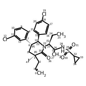 C=CC[C@@]1(I)C[C@H](c2cccc(Cl)c2)[C@@H](c2ccc(Cl)cc2)N([C@@H](CC)[C@H](C)NS(=O)(=O)C2CC2)C1=O